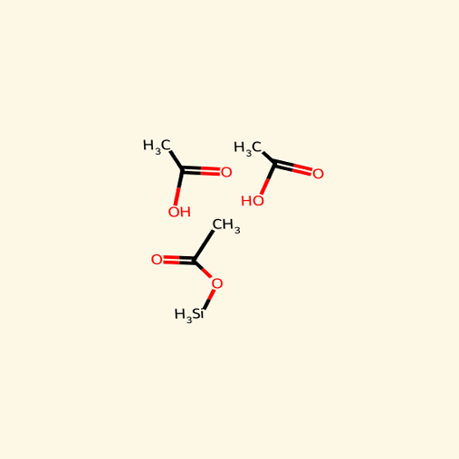 CC(=O)O.CC(=O)O.CC(=O)O[SiH3]